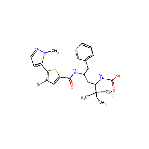 Cn1nccc1-c1sc(C(=O)NC(Cc2ccccc2)CC(NC(=O)O)C(C)(C)C)cc1Br